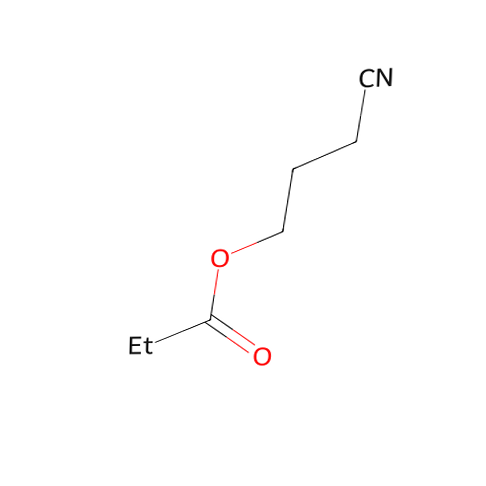 CCC(=O)OCCCC#N